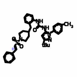 Cc1ccc(-n2nc(C(C)(C)C)cc2NC(=O)Nc2ccccc2CC2CCN(S(=O)(=O)/C=C/c3ccccc3)CC2)cc1